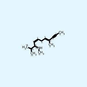 CC#C/C(C)=C/C/C=C\C(NC)C(C)C